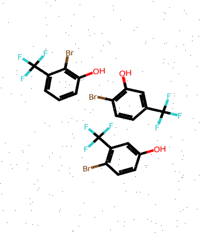 Oc1cc(C(F)(F)F)ccc1Br.Oc1ccc(Br)c(C(F)(F)F)c1.Oc1cccc(C(F)(F)F)c1Br